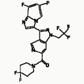 O=C(c1cc2c(cn1)c(-c1cnc3c(F)cc(F)cn13)nn2CC(F)(F)F)N1CCC(F)(F)CC1